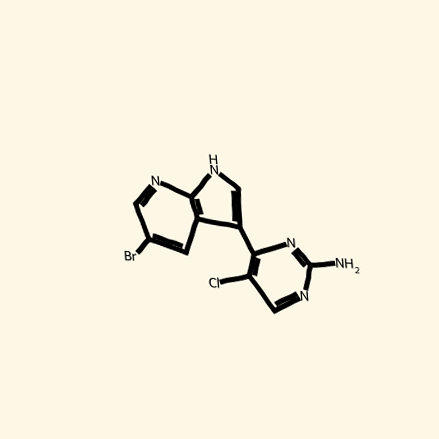 Nc1ncc(Cl)c(-c2c[nH]c3ncc(Br)cc23)n1